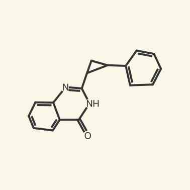 O=c1[nH]c(C2CC2c2ccccc2)nc2ccccc12